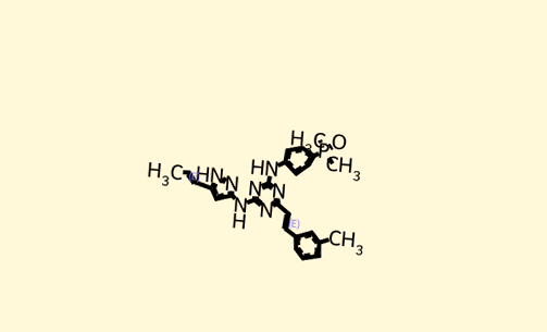 C/C=C/c1cc(Nc2nc(/C=C/c3cccc(C)c3)nc(Nc3ccc(P(C)(C)=O)cc3)n2)n[nH]1